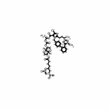 CCCCc1nc(Cl)c(C(=O)OC(C)OC(=O)O[C@@H]2CO[C@H]3[C@@H]2OC[C@H]3OC(=O)CCCC(CO[N+](=O)[O-])O[N+](=O)[O-])n1Cc1ccc(-c2ccccc2-c2nnnn2C)cc1